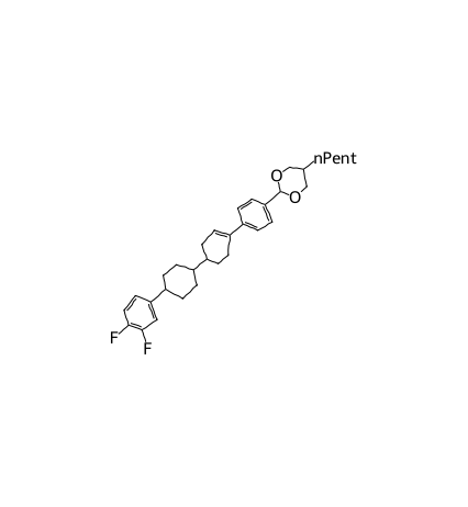 CCCCCC1COC(c2ccc(C3=CCC(C4CCC(c5ccc(F)c(F)c5)CC4)CC3)cc2)OC1